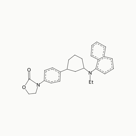 CCN(c1cccc2ccccc12)C1CCCC(c2ccc(N3CCOC3=O)cc2)C1